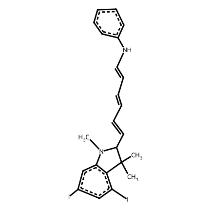 CN1c2cc(I)cc(I)c2C(C)(C)C1/C=C/C=C/C=C/Nc1ccccc1